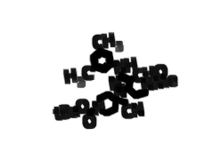 CN/C=C\c1c(C=O)c(Nc2cc(C)cc(C)c2)nn1C1(CC#N)CCN(C(=O)OC(C)(C)C)CC1